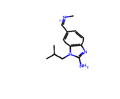 C/N=C\c1ccc2nc(N)n(CC(C)C)c2c1